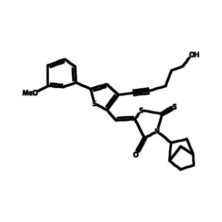 COc1cccc(-c2cc(C#CCCCO)c(/C=C3\SC(=S)N(C4CC5CCC4C5)C3=O)s2)c1